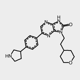 O=c1[nH]c2ncc(-c3ccc(C4CCNC4)cc3)nc2n1CCC1CCOCC1